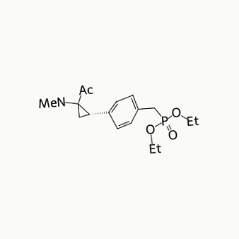 CCOP(=O)(Cc1ccc([C@@H]2CC2(NC)C(C)=O)cc1)OCC